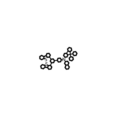 c1ccc(C2(c3ccccc3)c3ccccc3-c3ccc(N(c4ccc(-c5cc(-c6cccc7c6sc6ccccc67)cc(-c6cccc7c6sc6ccccc67)c5)cc4)c4ccc5ccccc5c4)cc32)cc1